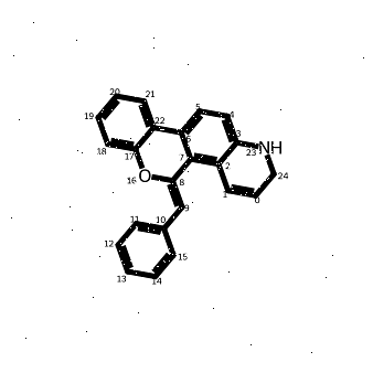 C1=Cc2c(ccc3c2C(=Cc2ccccc2)Oc2ccccc2-3)NC1